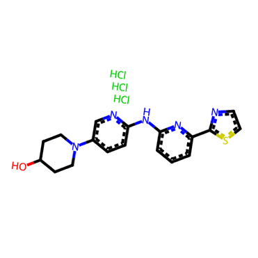 Cl.Cl.Cl.OC1CCN(c2ccc(Nc3cccc(-c4nccs4)n3)nc2)CC1